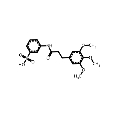 COc1cc(CCC(=O)Nc2cccc(S(=O)(=O)O)c2)cc(OC)c1OC